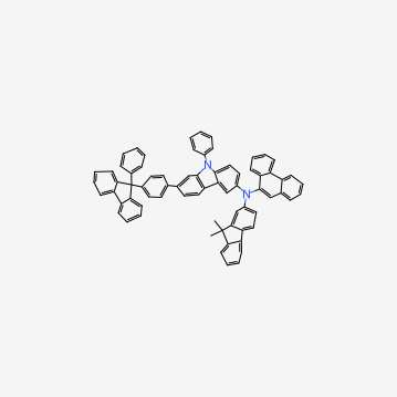 CC1(C)c2ccccc2-c2ccc(N(c3ccc4c(c3)c3ccc(-c5ccc(C6(c7ccccc7)c7ccccc7-c7ccccc76)cc5)cc3n4-c3ccccc3)c3cc4ccccc4c4ccccc34)cc21